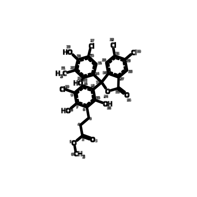 COC(=O)CCc1c(O)c(Cl)cc(C2(c3cc(Cl)c(O)c(C)c3O)OC(=O)c3cc(Cl)c(Cl)cc32)c1O